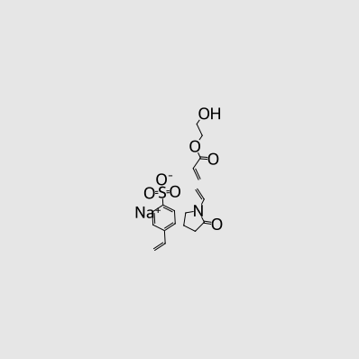 C=CC(=O)OCCO.C=CN1CCCC1=O.C=Cc1ccc(S(=O)(=O)[O-])cc1.[Na+]